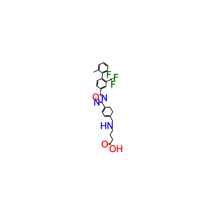 Cc1ccccc1-c1ccc(-c2nc(C3=CC=C(CNCCCC(=O)O)CC3)no2)cc1C(F)(F)F